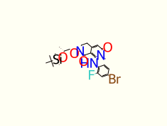 C[C@H](CON1CCc2cc(=O)n(C)c(Nc3ccc(Br)cc3F)c2C1=O)O[Si](C)(C)C(C)(C)C